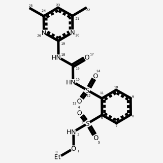 CCONS(=O)(=O)c1ccccc1S(=O)(=O)NC(=O)Nc1nc(C)cc(C)n1